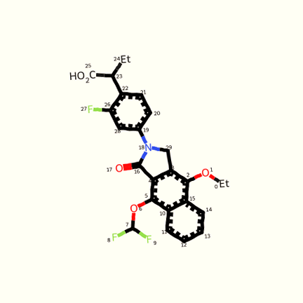 CCOc1c2c(c(OC(F)F)c3ccccc13)C(=O)N(c1ccc(C(CC)C(=O)O)c(F)c1)C2